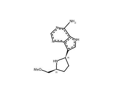 COC[C@@H]1CC[C@H](c2c[nH]c3c(N)ncnc23)N1